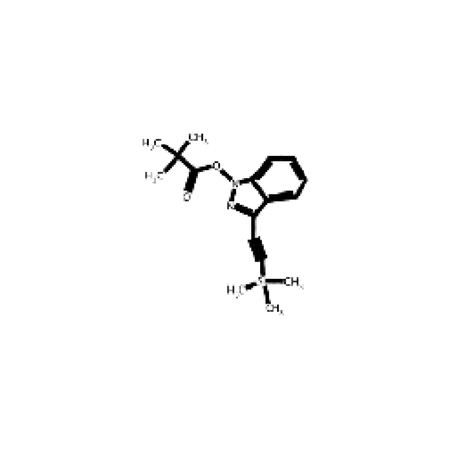 CC(C)(C)C(=O)On1nc(C#C[Si](C)(C)C)c2ccccc21